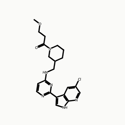 COCCC(=O)N1CCCC(CNc2ccnc(-c3c[nH]c4ncc(Cl)cc34)n2)C1